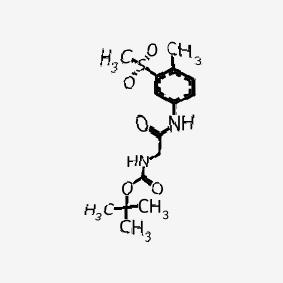 Cc1ccc(NC(=O)CNC(=O)OC(C)(C)C)cc1S(C)(=O)=O